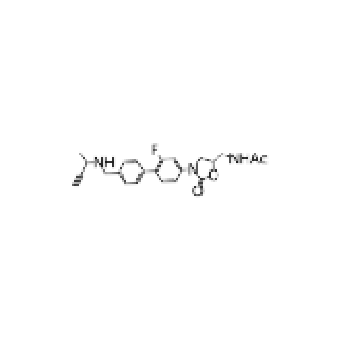 C#CC(C)NCc1ccc(-c2ccc(N3CC(CNC(C)=O)OC3=O)cc2F)cc1